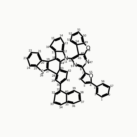 c1ccc(-c2ccc(-c3nc(-n4c5ccccc5c5c6c7ccccc7sc6c6cc(-c7cccc8ccccc78)ccc6c54)c4c(n3)oc3ccccc34)o2)cc1